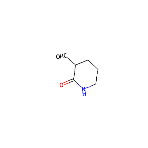 O=CC1CCCNC1=O